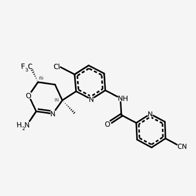 C[C@@]1(c2nc(NC(=O)c3ccc(C#N)cn3)ccc2Cl)C[C@@H](C(F)(F)F)OC(N)=N1